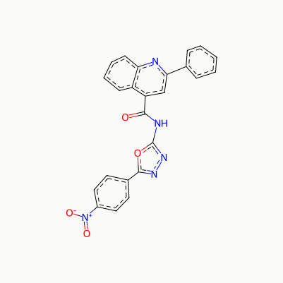 O=C(Nc1nnc(-c2ccc([N+](=O)[O-])cc2)o1)c1cc(-c2ccccc2)nc2ccccc12